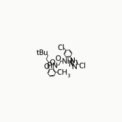 Cc1cccc(OC(=O)CCC(C)(C)C)c1NCC(=O)Nc1cc(Cl)ccc1-n1cc(Cl)nn1